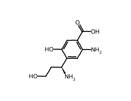 Nc1cc([C@@H](N)CCO)c(O)cc1C(=O)O